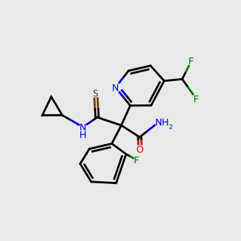 NC(=O)C(C(=S)NC1CC1)(c1cc(C(F)F)ccn1)c1ccccc1F